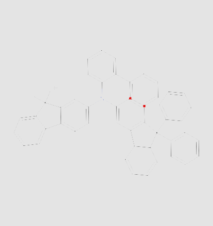 CC1(C)c2ccccc2-c2ccc(N(c3ccc4c(c3)C3C=CC=CC3C4(c3ccccc3)c3ccccc3)c3ccccc3-c3ccccc3)cc21